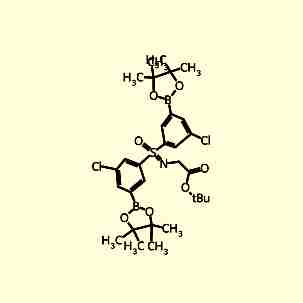 CC(C)(C)OC(=O)CN=S(=O)(c1cc(Cl)cc(B2OC(C)(C)C(C)(C)O2)c1)c1cc(Cl)cc(B2OC(C)(C)C(C)(C)O2)c1